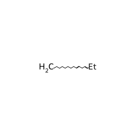 C=CCCCCCCCC=CCC=CCC